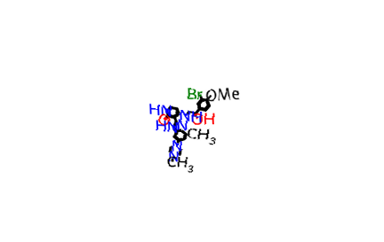 COc1ccc([C@@H](O)CNc2cc[nH]c(=O)c2-c2nc3c(C)cc(N4CCN(C)CC4)cc3[nH]2)cc1Br